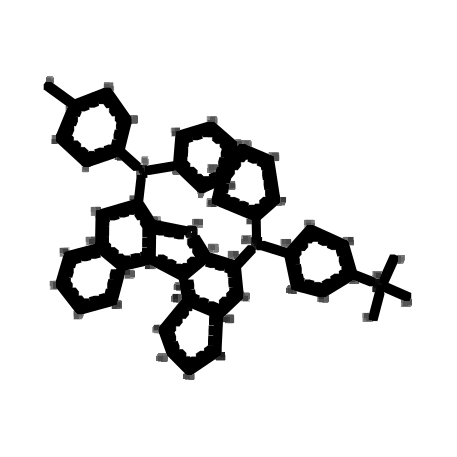 Cc1ccc(N(c2ccccc2)c2cc3ccccc3c3c2oc2c(N(c4ccccc4)c4ccc([Si](C)(C)C)cc4)cc4ccccc4c23)cc1